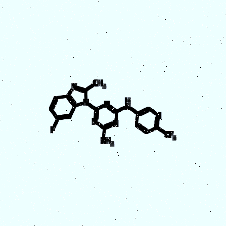 Cc1nc2ccc(F)cc2n1-c1nc(N)nc(Nc2ccc(C(F)(F)F)nc2)n1